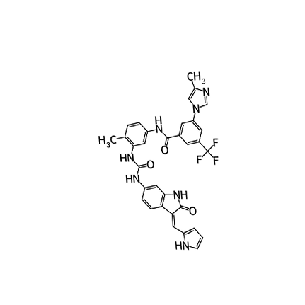 Cc1cn(-c2cc(C(=O)Nc3ccc(C)c(NC(=O)Nc4ccc5c(c4)NC(=O)C5=Cc4ccc[nH]4)c3)cc(C(F)(F)F)c2)cn1